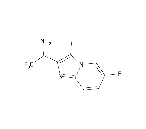 Cc1c(C(N)C(F)(F)F)nc2ccc(F)cn12